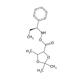 CC[C@H](NOC(=O)C1OC(C)(C)OC1C)c1ccccc1